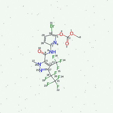 COC(=O)Oc1nc(NC(=O)c2c(C(F)(F)F)c(C(F)(F)C(F)(F)F)nn2C)ccc1Br